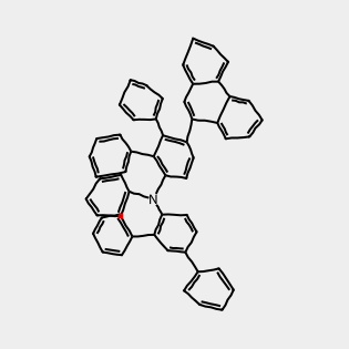 c1ccc(-c2ccc(N(c3ccccc3)c3ccc(-c4cc5ccccc5c5ccccc45)c(-c4ccccc4)c3-c3ccccc3)c(-c3ccccc3)c2)cc1